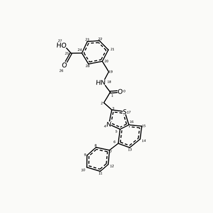 O=C(Cc1nc2c(-c3ccccc3)cccc2s1)NCc1cccc(C(=O)O)c1